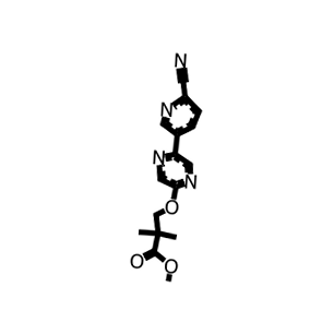 COC(=O)C(C)(C)COc1cnc(-c2ccc(C#N)nc2)cn1